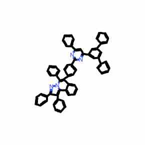 c1ccc(-c2cc(-c3ccccc3)cc(-c3cc(-c4ccccc4)nc(-c4ccc(-c5c(-c6ccccc6)n6nc(-c7ccccc7)c(-c7ccccc7)c6c6ccccc56)cc4)n3)c2)cc1